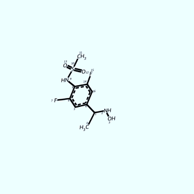 CC(NO)c1cc(F)c(NS(C)(=O)=O)c(F)c1